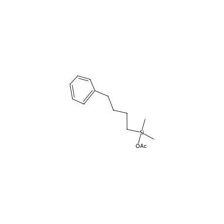 CC(=O)O[Si](C)(C)CCCCc1ccccc1